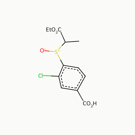 CCOC(=O)C(C)[S+]([O-])c1ccc(C(=O)O)cc1Cl